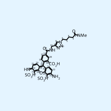 CNC(=O)CCCCn1cc(CNC(=O)c2ccc(-c3c4ccc(=N)c(S(=O)(=O)O)c-4oc4c(S(=O)(=O)O)c(N)ccc34)c(C(=O)O)c2)nn1